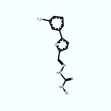 CCNC(=S)N/N=C/c1ccc(-c2cccc(C(F)(F)F)c2)o1